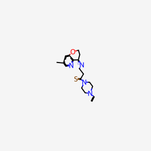 C=CN1CCN(C(=S)CC/N=C2/CCOc3cc(C)cnc32)CC1